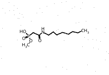 CCCCCCCCNC(=O)CP(=O)(O)OC